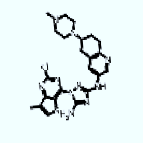 Cc1csc2c(-n3nc(Nc4cnc5c(c4)CC(N4CCN(C)CC4)CC5)nc3N)nc(Cl)nc12